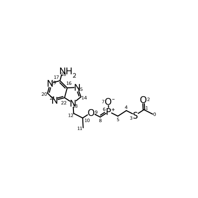 CC(=O)SCC/[P+]([O-])=C/OC(C)Cn1cnc2c(N)ncnc21